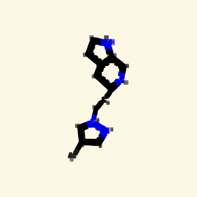 CC(=O)c1cnn(CCc2cc3cc[nH]c3cn2)c1